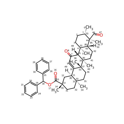 C[C@H]1CC[C@]2(C)[C@H]3C(=O)C=C4[C@@H]5C[C@@](C)(C(=O)OC(c6ccccc6)c6ccccc6)CC[C@]5(C)CC[C@@]4(C)[C@]3(C)CC[C@H]2[C@]1(C)C=O